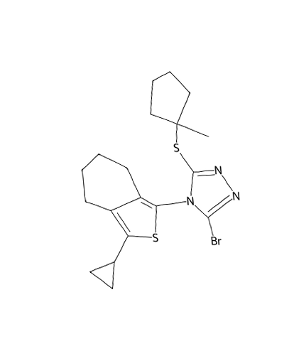 CC1(Sc2nnc(Br)n2-c2sc(C3CC3)c3c2CCCC3)CCCC1